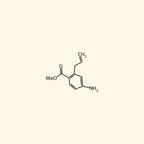 C=CCc1cc(N)ccc1C(=O)OC